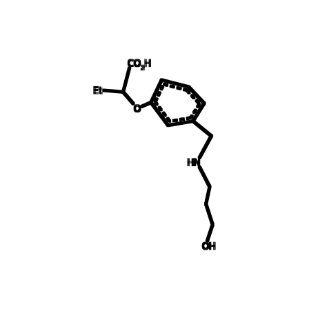 CCC(Oc1cccc(CNCCCO)c1)C(=O)O